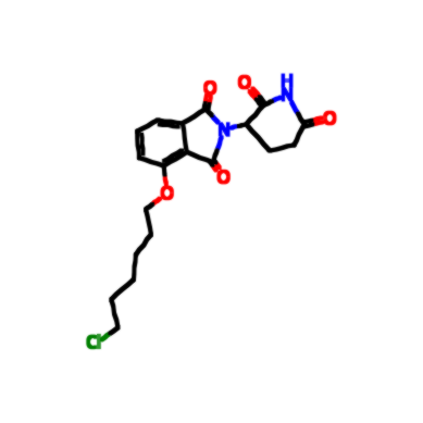 O=C1CCC(N2C(=O)c3cccc(OCCCCCCCl)c3C2=O)C(=O)N1